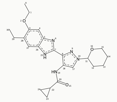 CCOc1cc2nc(-c3nn(C4CCCCO4)cc3NC(=O)C3CC3)[nH]c2cc1CC